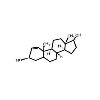 C[C@]12C=C[C@H](O)CC1CC[C@@H]1[C@@H]2CC[C@]2(C)C(O)CC[C@@H]12